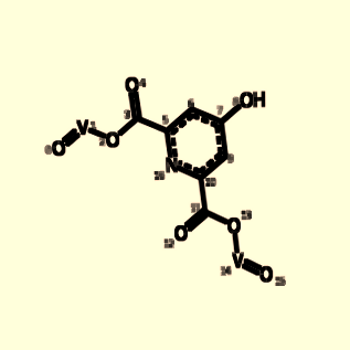 [O]=[V][O]C(=O)c1cc(O)cc(C(=O)[O][V]=[O])n1